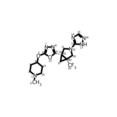 CN1CCC(Oc2nnc([C@]34CN(c5ncn[nH]5)C[C@@]3(C(F)(F)F)C4)o2)CC1